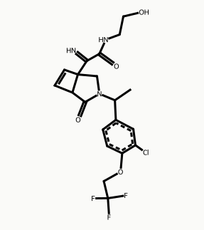 CC(c1ccc(OCC(F)(F)F)c(Cl)c1)N1CC2(C(=N)C(=O)NCCO)C=CC2C1=O